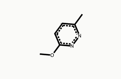 COc1c[c]c(C)nn1